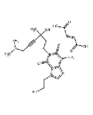 CCCn1cnc2c1c(=O)n(CCC(C)(O)C#CCN(C)C)c(=O)n2C.O=C(O)C=CC(=O)O